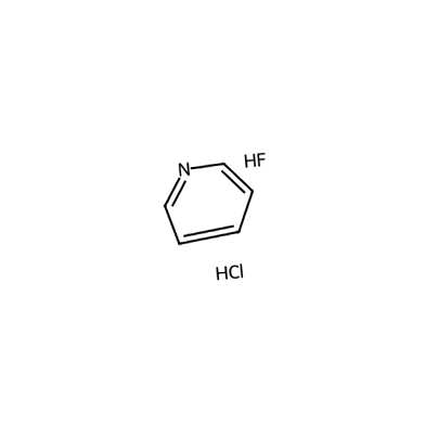 Cl.F.c1ccncc1